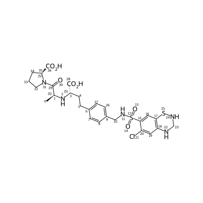 C[C@H](N[C@@H](CCc1ccc(CNS(=O)(=O)c2cc3c(cc2Cl)NCNS3)cc1)C(=O)O)C(=O)N1CCC[C@H]1C(=O)O